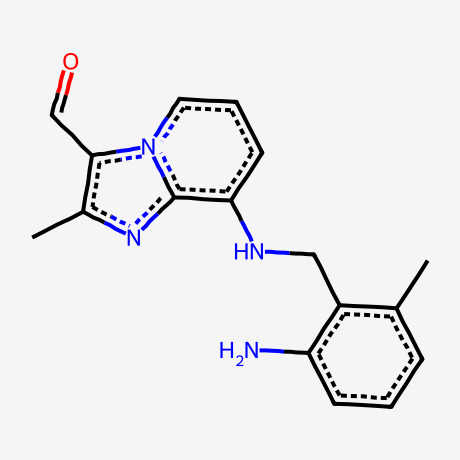 Cc1cccc(N)c1CNc1cccn2c(C=O)c(C)nc12